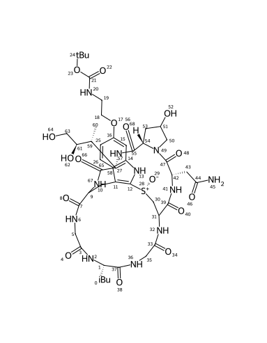 CCC(C)[C@@H]1NC(=O)CNC(=O)C2Cc3c([nH]c4cc(OCCNC(=O)OC(C)(C)C)ccc34)[S@+]([O-])CC(NC(=O)CNC1=O)C(=O)N[C@@H](CC(N)=O)C(=O)N1CC(O)C[C@H]1C(=O)N[C@@H]([C@@H](C)[C@@H](O)CO)C(=O)N2